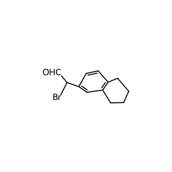 O=CC(Br)c1ccc2c(c1)CCCC2